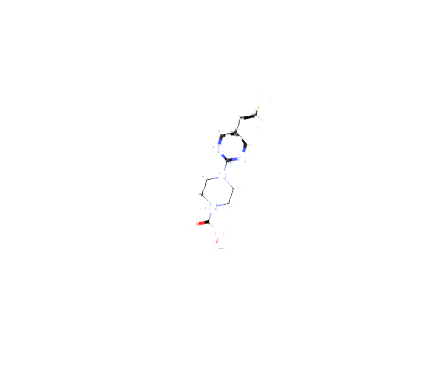 CC(C)(C)OC(=O)N1CCN(c2ncc(C=C(F)F)cn2)CC1